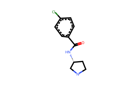 O=C(N[C@@H]1CC[N]C1)c1ccc(Cl)cc1